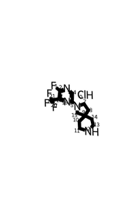 Cl.Fc1ncc(N2CCC3(CCNCC3)C2)nc1C(F)(F)F